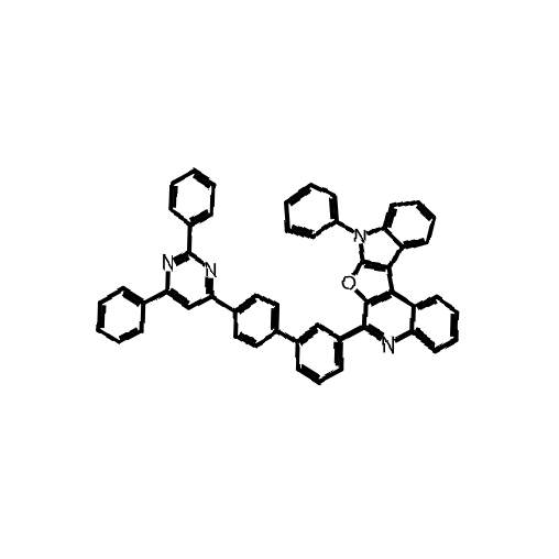 c1ccc(-c2cc(-c3ccc(-c4cccc(-c5nc6ccccc6c6c5oc5c6c6ccccc6n5-c5ccccc5)c4)cc3)nc(-c3ccccc3)n2)cc1